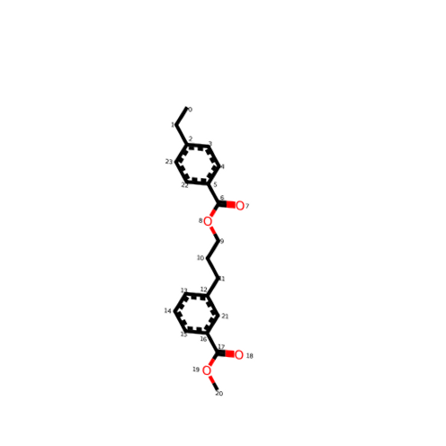 CCc1ccc(C(=O)OCCCc2cccc(C(=O)OC)c2)cc1